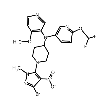 COc1ccncc1N(c1ccc(OC(F)F)nc1)C1CCN(c2c([N+](=O)[O-])c(Br)nn2C)CC1